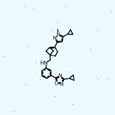 Cn1nc(C2=C3CC(CNc4cccc(-c5nc(C6CC6)no5)c4)(CC2)C3)cc1C1CC1